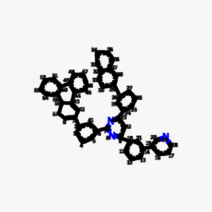 C1=C(c2cccc(-c3nc(-c4cccc(-c5cccnc5)c4)cc(-c4cccc(-c5ccc6ccccc6c5)c4)n3)c2)C=C2c3ccccc3-c3ccccc3C2C1